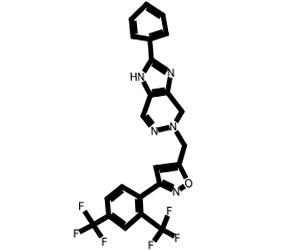 FC(F)(F)c1ccc(-c2cc(CN3Cc4nc(-c5ccccc5)[nH]c4C=N3)on2)c(C(F)(F)F)c1